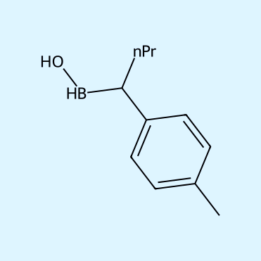 CCCC(BO)c1ccc(C)cc1